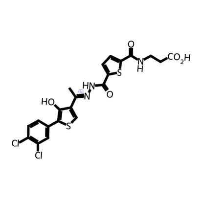 C/C(=N\NC(=O)c1ccc(C(=O)NCCC(=O)O)s1)c1csc(-c2ccc(Cl)c(Cl)c2)c1O